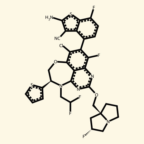 N#Cc1c(N)sc2c(F)ccc(-c3c(Cl)c4c5c(nc(OC[C@@]67CCCN6C[C@H](F)C7)nc5c3F)N(CC(F)F)[C@@H](c3cccs3)CO4)c12